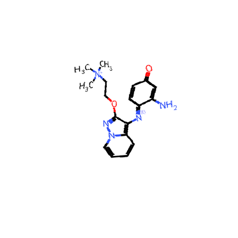 C[N+](C)(C)CCOc1nn2ccccc2c1/N=C1\C=CC(=O)C=C1N